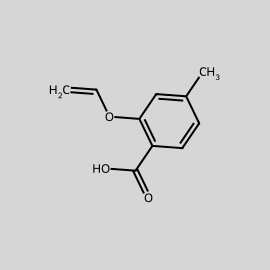 C=COc1cc(C)ccc1C(=O)O